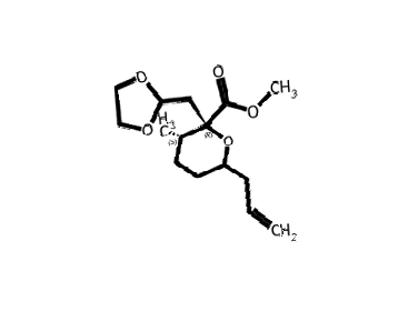 C=CCC1CC[C@H](C)[C@](CC2OCCO2)(C(=O)OC)O1